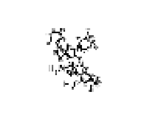 Cc1cc(CN(Cc2cc3cnn(-c4ccccc4)c3nc2N(CC2CC2)CC2CC2)c2nnn(C)n2)cc(C(F)(F)F)c1